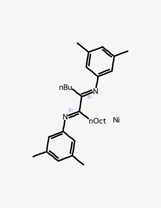 CCCCCCCCC(=N\c1cc(C)cc(C)c1)/C(CCCC)=N/c1cc(C)cc(C)c1.[Ni]